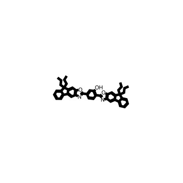 CCCC1(CCC)c2ccccc2-c2cc3nc(-c4ccc(-c5nc6cc7c(cc6o5)C(CCC)(CCC)c5ccccc5-7)c(O)c4)oc3cc21